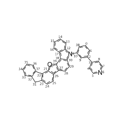 c1cc(-c2ccncc2)cc(-n2c3ccccc3c3c4oc5c6c(ccc5c4ccc32)Cc2ccccc2-6)c1